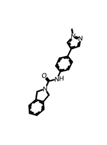 Cn1cc(-c2ccc(NC(=O)N3Cc4ccccc4C3)cc2)cn1